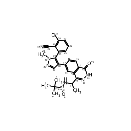 CC(N[S@+]([O-])C(C)(C)C)c1n[nH]c(=O)c2ccc(-c3cnn(C)c3-c3cccc(Cl)c3C#N)cc12